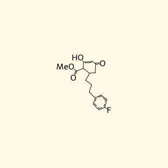 COC(=O)C1C(O)=CC(=O)CC1CCCc1ccc(F)cc1